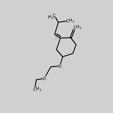 C=C1CCC(OCOCC)C/C1=C/C(C)C